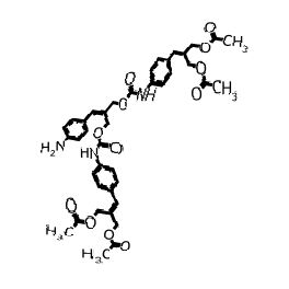 CC(=O)OCC(=Cc1ccc(NC(=O)OCC(=Cc2ccc(N)cc2)COC(=O)Nc2ccc(C=C(COC(C)=O)COC(C)=O)cc2)cc1)COC(C)=O